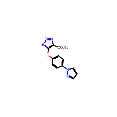 CCOC(=O)c1nn[nH]c1Oc1ccc(-n2cccn2)cc1